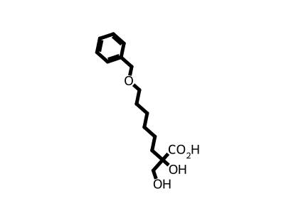 O=C(O)C(O)(CO)CCCCCCOCc1ccccc1